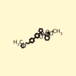 CCOC(=O)[C@H]1CCCCC1NC(=O)C1(c2ccc(-c3ccc(CCN4CCCC4C)cc3)cc2)CCCC1